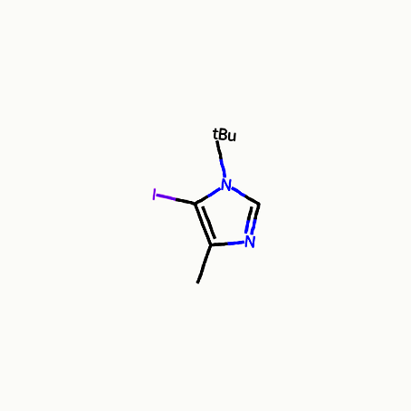 Cc1ncn(C(C)(C)C)c1I